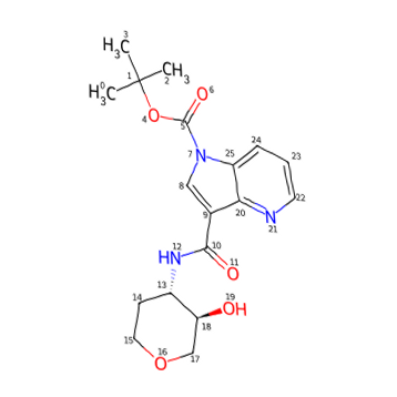 CC(C)(C)OC(=O)n1cc(C(=O)N[C@H]2CCOC[C@@H]2O)c2ncccc21